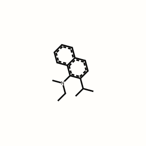 CCN(C)c1c(C(C)C)ccc2ccccc12